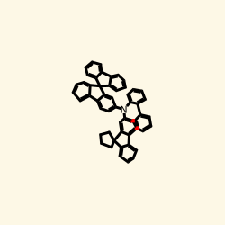 c1ccc(-c2ccccc2N(c2ccc3c(c2)C2(CCCC2)c2ccccc2-3)c2ccc3c(c2)C2(c4ccccc4-c4ccccc42)c2ccccc2-3)cc1